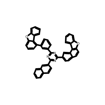 c1cc(-c2nc(-c3ccc4ccccc4c3)nc(-c3ccc4ccc5oc6ccccc6c5c4c3)n2)cc(-c2cccc3oc4ccccc4c23)c1